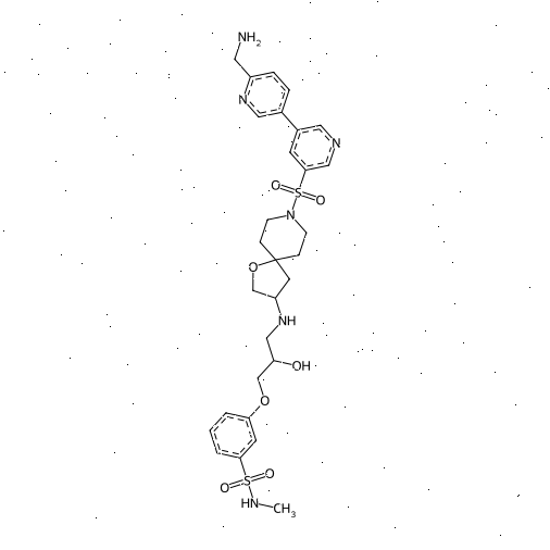 CNS(=O)(=O)c1cccc(OCC(O)CNC2COC3(CCN(S(=O)(=O)c4cncc(-c5ccc(CN)nc5)c4)CC3)C2)c1